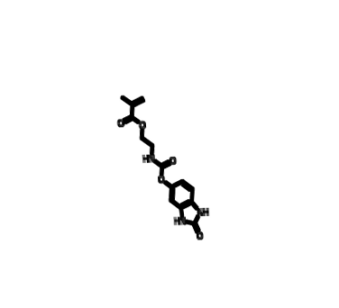 C=C(C)C(=O)OCCNC(=O)Oc1ccc2[nH]c(=O)[nH]c2c1